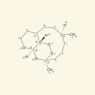 C[C@H]1CCC[C@]2(C)OO[C@H]3C(CCO[C@@H]3O2)CC1